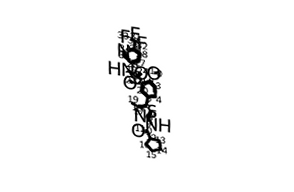 COc1ccc(-c2sc(NC(=O)C3CCCC3)nc2C)cc1S(=O)(=O)Nc1ccc(C(F)(F)F)nc1